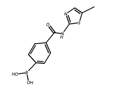 Cc1cnc(NC(=O)c2ccc(B(O)O)cc2)s1